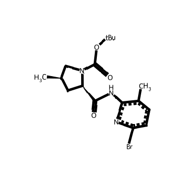 Cc1ccc(Br)nc1NC(=O)[C@H]1C[C@@H](C)CN1C(=O)OC(C)(C)C